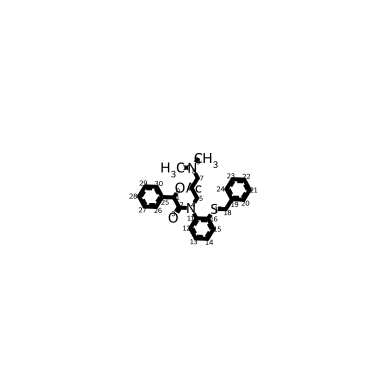 CC(=O)OC(C(=O)N(CCCN(C)C)c1ccccc1SCc1ccccc1)c1ccccc1